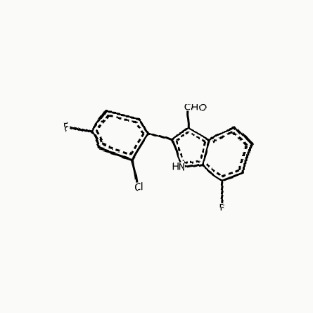 O=Cc1c(-c2ccc(F)cc2Cl)[nH]c2c(F)cccc12